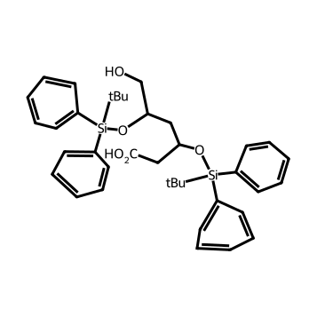 CC(C)(C)[Si](OC(CO)CC(CC(=O)O)O[Si](c1ccccc1)(c1ccccc1)C(C)(C)C)(c1ccccc1)c1ccccc1